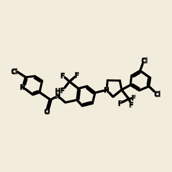 O=C(NCc1ccc(N2CCC(c3cc(Cl)cc(Cl)c3)(C(F)(F)F)C2)cc1C(F)(F)F)c1ccc(Cl)nc1